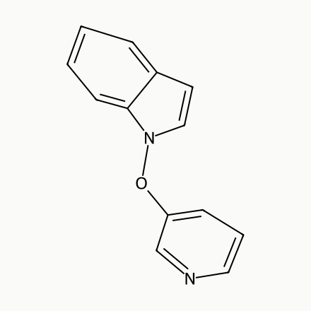 c1cncc(On2ccc3ccccc32)c1